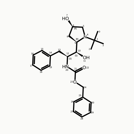 CC(C)(C)N1C[C@H](O)C[C@@H]1[C@@H](O)[C@H](Cc1ccccc1)NC(=O)OCc1ccccc1